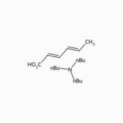 CC=CC=CC(=O)O.CCCCN(CCCC)CCCC